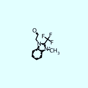 C[n+]1c(C(F)(F)F)n(CC=O)c2ccccc21